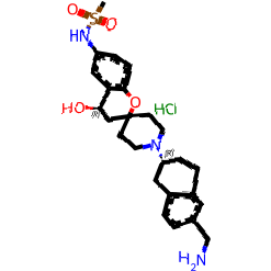 CS(=O)(=O)Nc1ccc2c(c1)[C@H](O)CC1(CCN([C@@H]3CCc4cc(CN)ccc4C3)CC1)O2.Cl